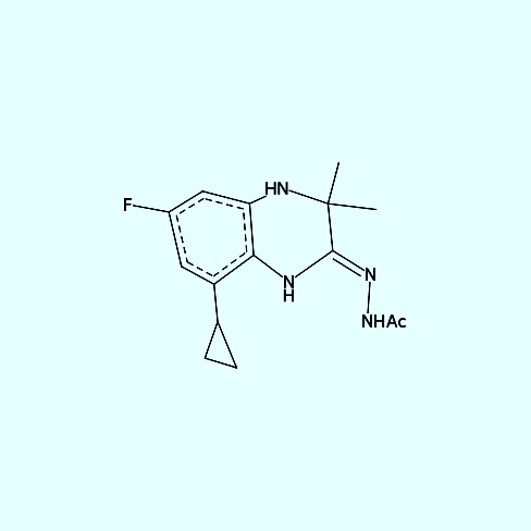 CC(=O)N/N=C1\Nc2c(cc(F)cc2C2CC2)NC1(C)C